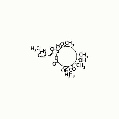 C/C(=C\c1coc(C)n1)[C@@H]1C[C@@H]2O[C@]2(C)CCCC(C)[C@H](O)C(C)C(=O)C(C)(C)[C@@H](O)CC(=O)O1